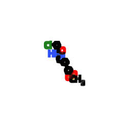 CS(=O)(=O)c1ccc(-c2ccc3nc(NC(=O)c4cccc(Cl)c4)ccc3c2)cc1